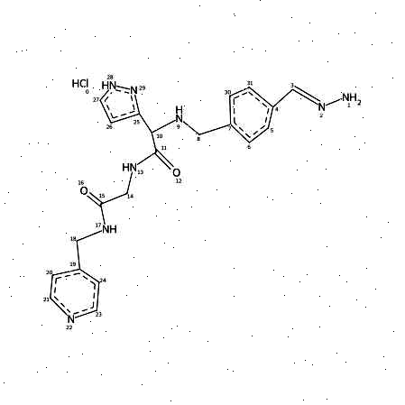 Cl.NN=Cc1ccc(CNC(C(=O)NCC(=O)NCc2ccncc2)c2cc[nH]n2)cc1